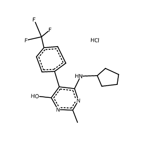 Cc1nc(O)c(-c2ccc(C(F)(F)F)cc2)c(NC2CCCC2)n1.Cl